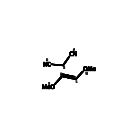 COC=COC.N#CCC#N